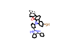 CC1C=c2c(oc3c2ccc2c4cc(S)ccc4n(-c4cccc(C5Nc6ccccc6C(c6ccccc6)N5)c4)c23)=CC1